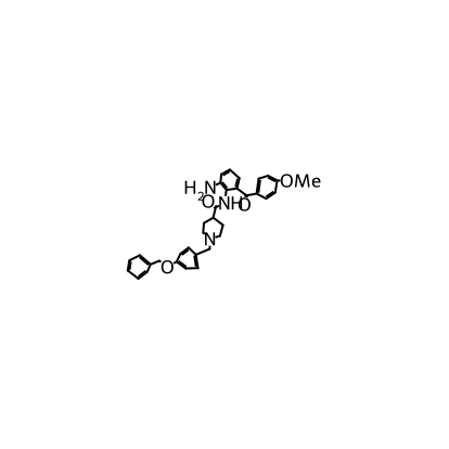 COc1ccc(C(=O)c2cccc(N)c2NC(=O)C2CCN(Cc3ccc(OCc4ccccc4)cc3)CC2)cc1